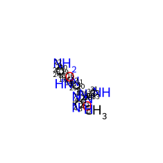 COc1cncc2nc(-c3ccnc(NC(=O)Cc4ccc(N)cc4)c3)nc(N[C@@H]3CCNC3)c12